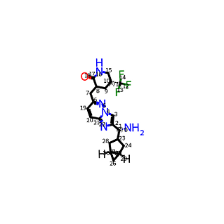 N[C@@H](c1cn2nc(CC3C[C@@H](C(F)(F)F)CNC3=O)ccc2n1)C1C[C@@H]2C[C@@H]2C1